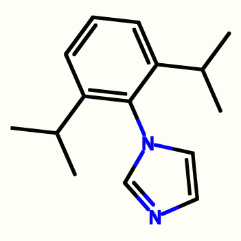 CC(C)c1cccc(C(C)C)c1-n1ccnc1